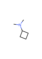 CN(C)[C]1CCC1